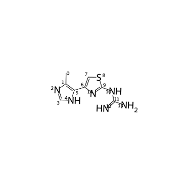 Cc1nc[nH]c1-c1csc(NC(=N)N)n1